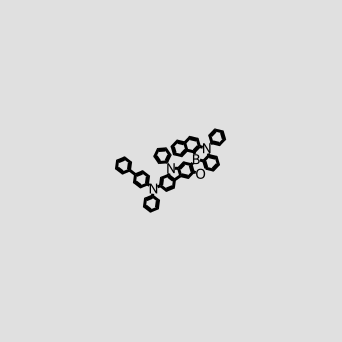 c1ccc(-c2ccc(N(c3ccccc3)c3ccc4c5cc6c(cc5n(-c5ccccc5)c4c3)B3c4c(cccc4N(c4ccccc4)c4ccc5ccccc5c43)O6)cc2)cc1